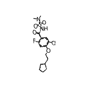 CN(C)S(=O)(=O)NC(=O)c1cc(Cl)c(OCCC2CCCC2)cc1F